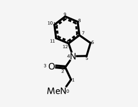 CNCC(=O)N1CCc2cc[c]cc21